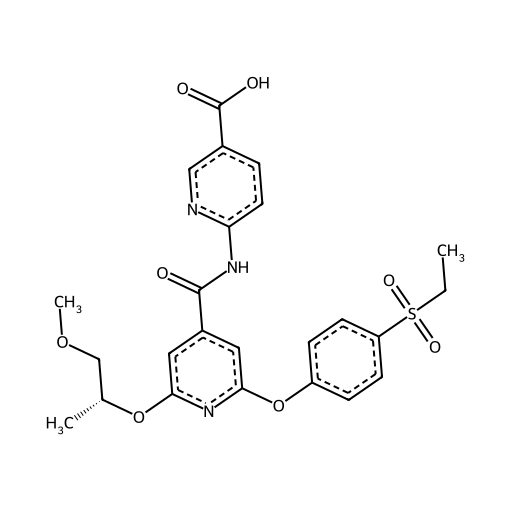 CCS(=O)(=O)c1ccc(Oc2cc(C(=O)Nc3ccc(C(=O)O)cn3)cc(O[C@H](C)COC)n2)cc1